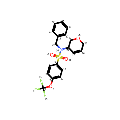 O=S(=O)(c1ccc(OC(F)(F)F)cc1)N(Cc1ccccc1)C1C=CCOC1